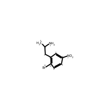 CC(N)Cc1cc([N+](=O)[O-])ccc1Br